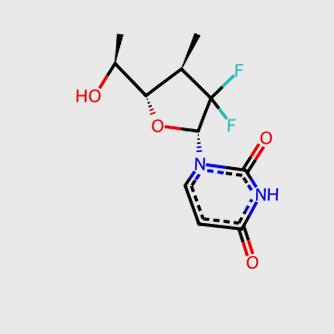 C[C@H](O)[C@H]1O[C@@H](n2ccc(=O)[nH]c2=O)C(F)(F)[C@@H]1C